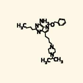 CCCCc1nc(N)c2c(n1)c(CCCCN1CCN(C(C)C)CC1)cn2COCc1ccccc1